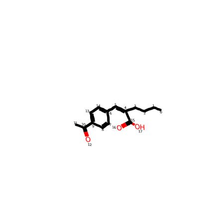 CCCCC(=Cc1ccc(C(C)=O)cc1)C(=O)O